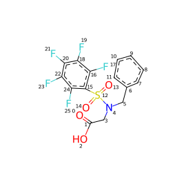 O=C(O)CN(Cc1ccccc1)S(=O)(=O)c1c(F)c(F)c(F)c(F)c1F